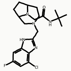 CC(C)(C)NC(=O)CN1C2CCC1CN(Cc1nc3c(Cl)cc(F)cc3[nH]1)CC2